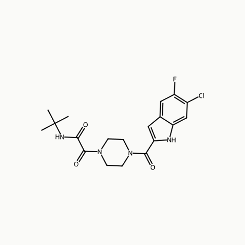 CC(C)(C)NC(=O)C(=O)N1CCN(C(=O)c2cc3cc(F)c(Cl)cc3[nH]2)CC1